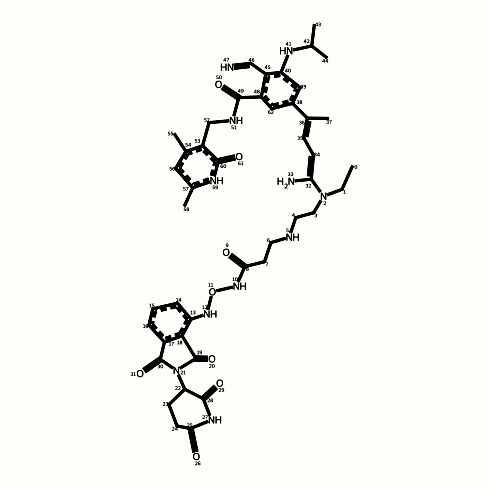 CCN(CCNCCC(=O)NONc1cccc2c1C(=O)N(C1CCC(=O)NC1=O)C2=O)/C(N)=C/C=C(\C)c1cc(NC(C)C)c(C=N)c(C(=O)NCc2c(C)cc(C)[nH]c2=O)c1